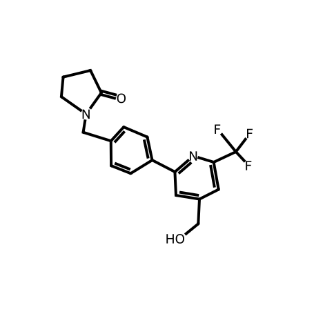 O=C1CCCN1Cc1ccc(-c2cc(CO)cc(C(F)(F)F)n2)cc1